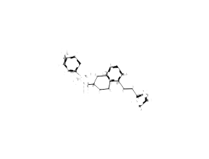 O=S(=O)(NC1CCc2c(CCc3ncco3)cccc2C1)c1ccc(Cl)cc1